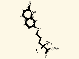 COC(=O)C(C)(C)CCCOc1ccc2ccc(=O)oc2c1